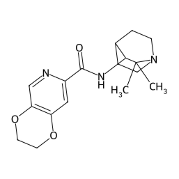 CC1(C)C(NC(=O)c2cc3c(cn2)OCCO3)C2CCN1CC2